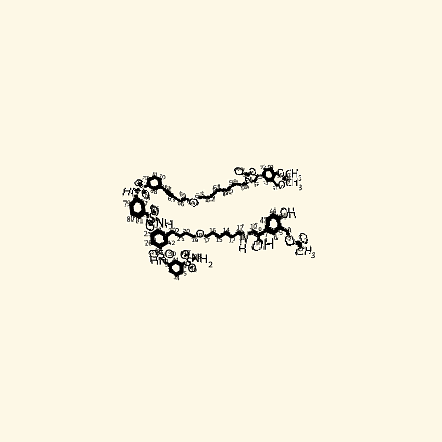 CC(=O)OCc1cc([C@@H](O)CNCCCCCCOCCCCc2cccc(S(=O)(=O)Nc3cccc(S(N)(=O)=O)c3)c2)ccc1O.CC1(C)OCc2cc([C@@H]3CN(CCCCCCOCCC#Cc4cccc(S(=O)(=O)Nc5cccc(S(N)(=O)=O)c5)c4)C(=O)O3)ccc2O1